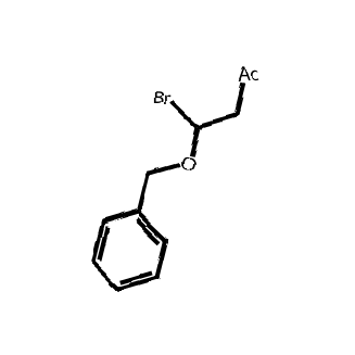 CC(=O)CC(Br)OCc1ccccc1